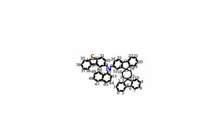 c1ccc2c(c1)-c1ccccc1C21CCC2(CC1)c1ccccc1-c1ccc(N(c3ccc4sc5ccccc5c4c3)c3cccc4ccccc34)cc12